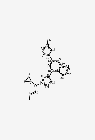 CC=CC(C1CC1)n1cc(-c2nc(-c3cnn(C)c3)cc3nccn23)cn1